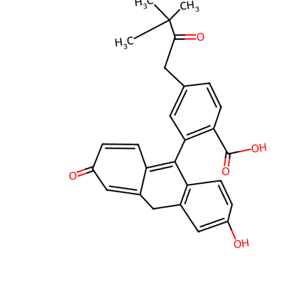 CC(C)(C)C(=O)Cc1ccc(C(=O)O)c(C2=C3C=CC(=O)C=C3Cc3cc(O)ccc32)c1